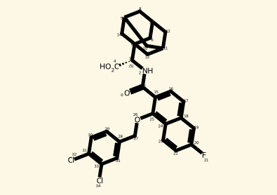 O=C(N[C@H](C(=O)O)C12CC3CC(CC(C3)C1)C2)c1ccc2cc(F)ccc2c1OCc1ccc(Cl)c(Cl)c1